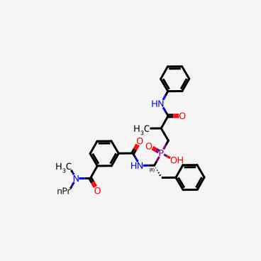 CCCN(C)C(=O)c1cccc(C(=O)N[C@@H](Cc2ccccc2)P(=O)(O)CC(C)C(=O)Nc2ccccc2)c1